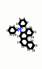 c1ccc(N(c2ccccc2)c2cc3ccc4ccccc4c3c3ccccc23)cc1